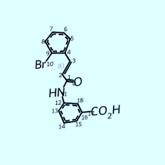 O=C(/C=C/c1ccccc1Br)Nc1cccc(C(=O)O)c1